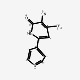 N#Cc1c(C(F)(F)F)cc(-c2ccncc2)[nH]c1=O